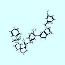 O=C(Nc1cc(-c2ccc3ncn(Cc4cccc(F)c4)c3c2)c(Cl)cn1)C1CCSC12CCN(S(=O)(=O)c1ccccc1)C2